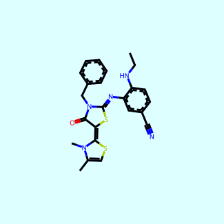 CCNc1ccc(C#N)cc1/N=C1\S/C(=C2\SC=C(C)N2C)C(=O)N1Cc1ccccc1